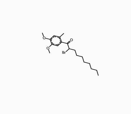 CCCCCCCCC(Br)C(=O)c1cc(OC)c(OC)cc1C